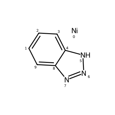 [Ni].c1ccc2[nH]nnc2c1